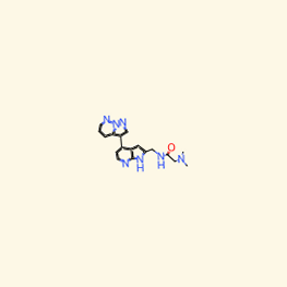 CN(C)CC(=O)NCc1cc2c(-c3cnn4ncccc34)ccnc2[nH]1